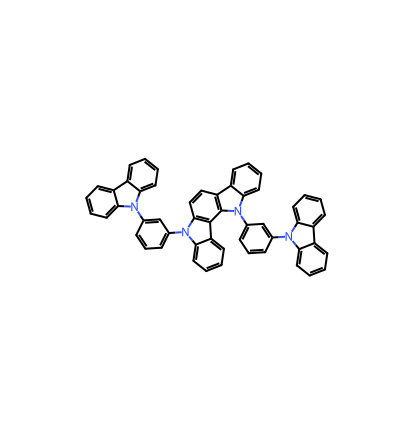 c1cc(-n2c3ccccc3c3ccccc32)cc(-n2c3ccccc3c3c2ccc2c4ccccc4n(-c4cccc(-n5c6ccccc6c6ccccc65)c4)c23)c1